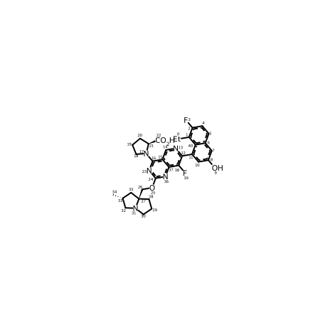 CCc1c(F)ccc2cc(O)cc(-c3ncc4c(N5CCC[C@H]5C(=O)O)nc(OC[C@@]56CCCN5C[C@H](C)C6)nc4c3F)c12